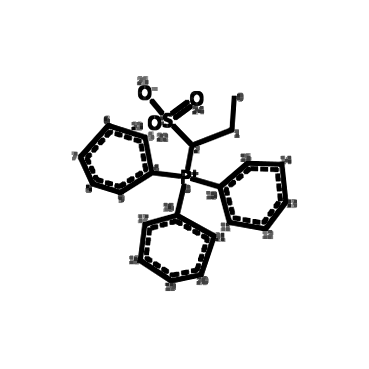 CCC([P+](c1ccccc1)(c1ccccc1)c1ccccc1)S(=O)(=O)[O-]